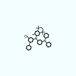 Cc1cc2c(cc1N(c1cc(Cl)cc(-c3ccccc3)c1)c1cccc(N(c3ccccc3)c3ccccc3)c1)C(C)(C)CCC2(C)C